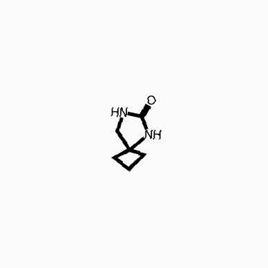 O=C1NCC2(CCC2)N1